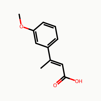 COc1cccc(C(C)=CC(=O)O)c1